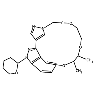 CC1OCCOCCn2cc(cn2)-c2nn(C3CCCCO3)c3ccc(cc23)OC1C